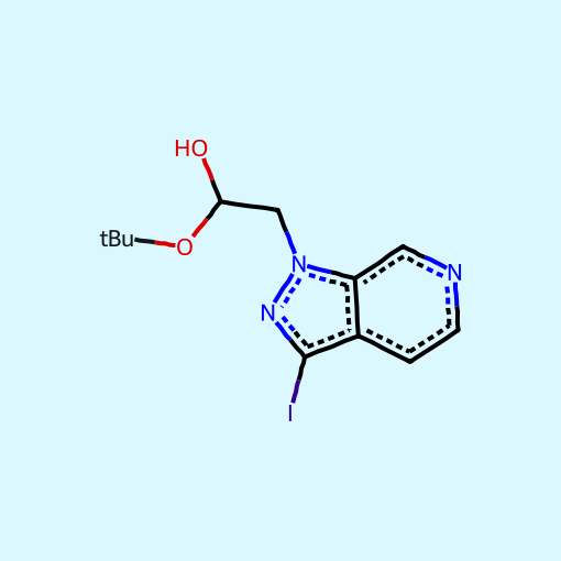 CC(C)(C)OC(O)Cn1nc(I)c2ccncc21